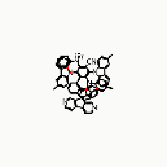 Cc1ccc2c(c1)c1ccccc1n2-c1c(-c2cccc3c2-c2ccccc2C32c3cnccc3-c3ccncc32)c(-n2c3ccccc3c3cc(C)ccc32)c(-n2c3ccccc3c3cc(C)ccc32)c(C#N)c1N(c1ccccc1C)C(C)C